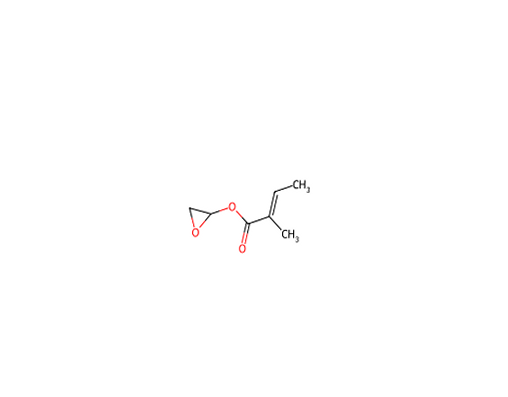 CC=C(C)C(=O)OC1CO1